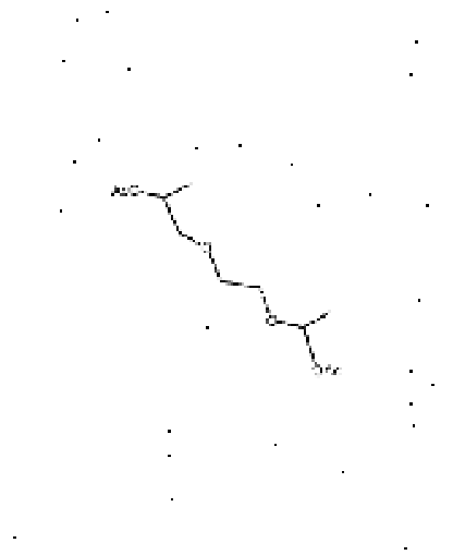 CC(=O)OC(I)COCCOC(I)OC(C)=O